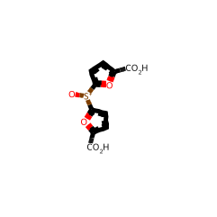 O=C(O)c1ccc([S+]([O-])c2ccc(C(=O)O)o2)o1